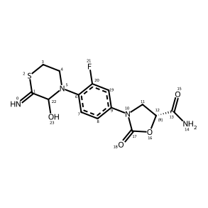 N=C1SCCN(c2ccc(N3C[C@H](C(N)=O)OC3=O)cc2F)C1O